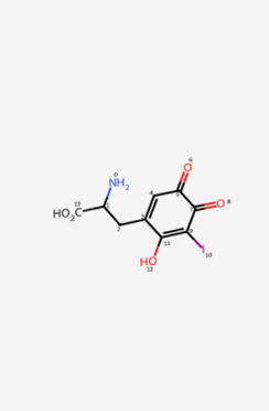 NC(CC1=CC(=O)C(=O)C(I)=C1O)C(=O)O